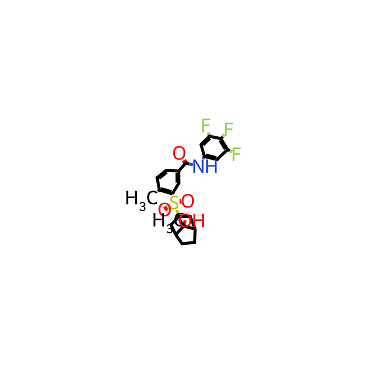 Cc1ccc(C(=O)Nc2cc(F)c(F)c(F)c2)cc1S(=O)(=O)C1CC2CCC(C1)C2(C)O